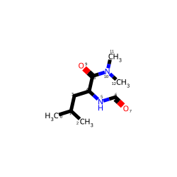 CC(C)CC(NC=O)C(=O)N(C)C